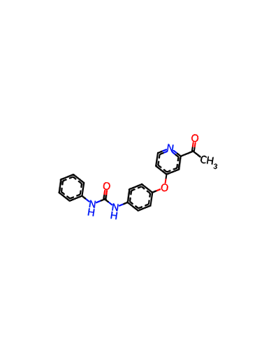 CC(=O)c1cc(Oc2ccc(NC(=O)Nc3ccccc3)cc2)ccn1